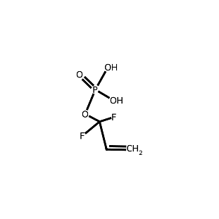 C=CC(F)(F)OP(=O)(O)O